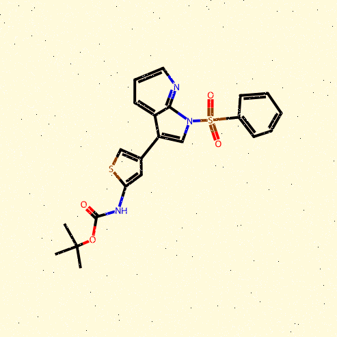 CC(C)(C)OC(=O)Nc1cc(-c2cn(S(=O)(=O)c3ccccc3)c3ncccc23)cs1